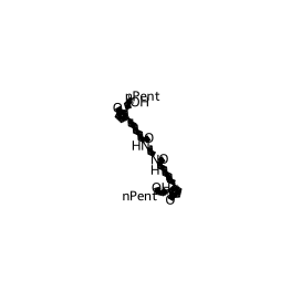 CCCCC[C@H](O)C=C[C@H]1C(=O)C=C[C@@H]1CC=CCCCC(=O)NCCCNC(=O)CCCC=CC[C@H]1C=CC(=O)[C@@H]1C=C[C@@H](O)CCCCC